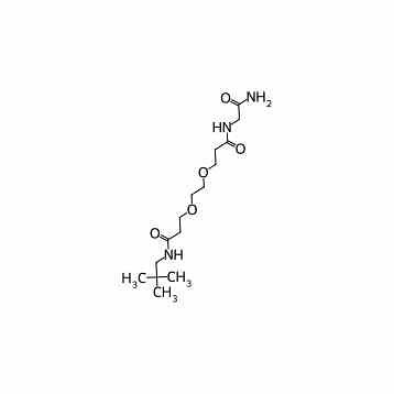 CC(C)(C)CNC(=O)CCOCCOCCC(=O)NCC(N)=O